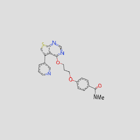 CNC(=O)c1ccc(OCCCOc2ncnc3scc(-c4cccnc4)c23)cc1